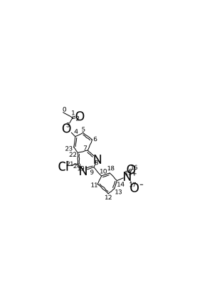 CC(=O)Oc1ccc2nc(-c3cccc([N+](=O)[O-])c3)nc(Cl)c2c1